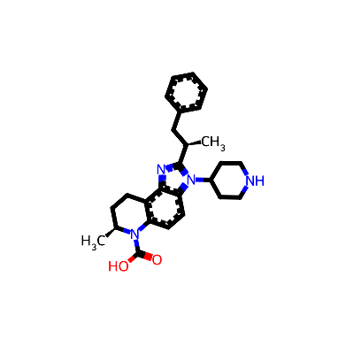 C[C@H](Cc1ccccc1)c1nc2c3c(ccc2n1C1CCNCC1)N(C(=O)O)[C@@H](C)CC3